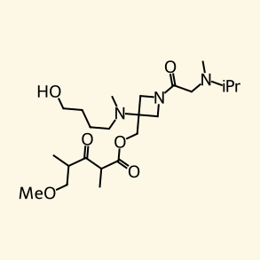 COCC(C)C(=O)C(C)C(=O)OCC1(N(C)CCCCO)CN(C(=O)CN(C)C(C)C)C1